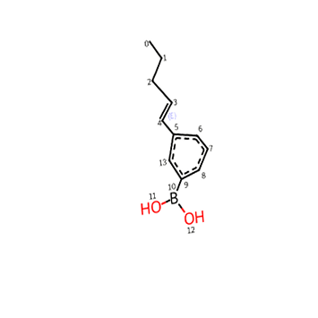 CCC/C=C/c1cccc(B(O)O)c1